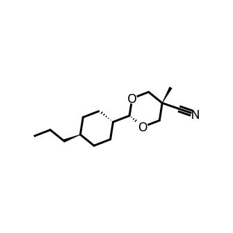 CCC[C@H]1CC[C@H]([C@H]2OC[C@@](C)(C#N)CO2)CC1